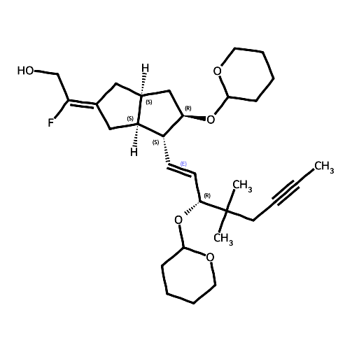 CC#CCC(C)(C)[C@@H](/C=C/[C@@H]1[C@H]2CC(=C(F)CO)C[C@H]2C[C@H]1OC1CCCCO1)OC1CCCCO1